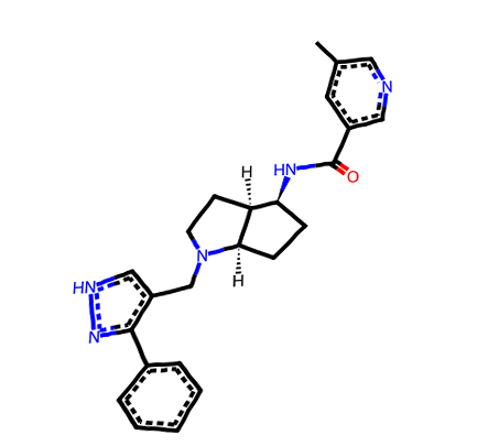 Cc1cncc(C(=O)N[C@H]2CC[C@@H]3[C@H]2CCN3Cc2c[nH]nc2-c2ccccc2)c1